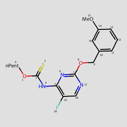 CCCCCOC(=S)Nc1nc(OCc2cccc(OC)c2)ncc1F